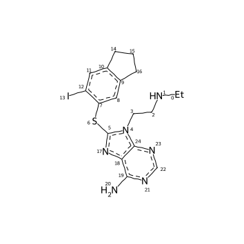 CCNCCn1c(Sc2cc3c(cc2I)CCC3)nc2c(N)ncnc21